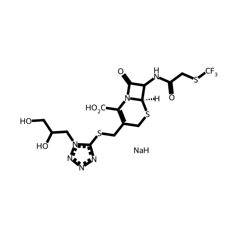 O=C(CSC(F)(F)F)NC1C(=O)N2C(C(=O)O)=C(CSc3nnnn3CC(O)CO)CS[C@H]12.[NaH]